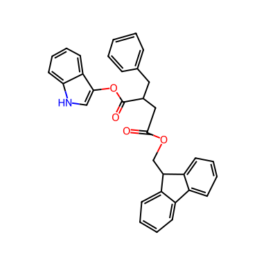 O=C(CC(Cc1ccccc1)C(=O)Oc1c[nH]c2ccccc12)OCC1c2ccccc2-c2ccccc21